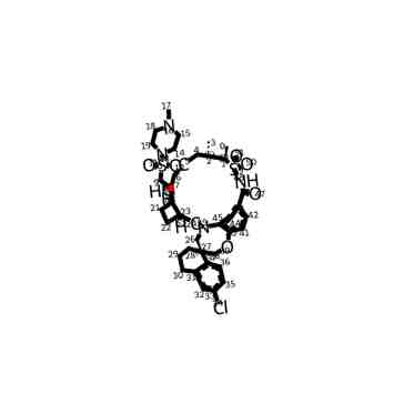 C[C@@H]1[C@@H](C)CCC[C@](O)(CS(=O)(=O)N2CCN(C)CC2)[C@@H]2CC[C@H]2CN2C[C@@]3(CCCc4cc(Cl)ccc43)COc3ccc(cc32)C(=O)NS1(=O)=O